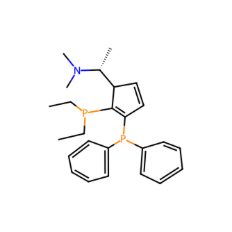 CCP(CC)C1=C(P(c2ccccc2)c2ccccc2)C=CC1[C@@H](C)N(C)C